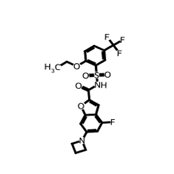 CCOc1ccc(C(F)(F)F)cc1S(=O)(=O)NC(=O)c1cc2c(F)cc(N3CCC3)cc2o1